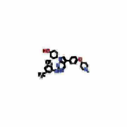 CN1CCC(Oc2ccc(-c3cn([C@H]4CC[C@H](O)CC4)c4nc(Nc5cc(C(F)(F)F)cc(C(F)(F)F)c5)ncc34)cc2)CC1